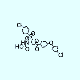 O=C(O)NC(CS(=O)(=O)c1ccc(Cl)cc1)CS(=O)(=O)c1ccc(Oc2ccc(Cl)cc2)cc1